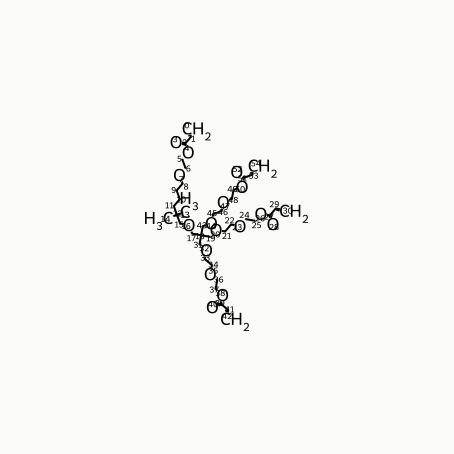 C=CC(=O)OCCOCCCCC(C)(C)COCC(COCCOCCOC(=O)C=C)(COCCOCCOC(=O)C=C)COCCOCCOC(=O)C=C